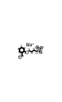 O=Cc1ccccc1OCCCCS(=O)(=O)[O-].[Na+]